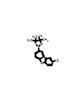 CC1(C)OB(c2ccc3oc4ccc(Cl)cc4c3c2)OC1(C)C